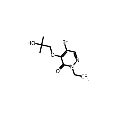 CC(C)(O)COc1c(Br)cnn(CC(F)(F)F)c1=O